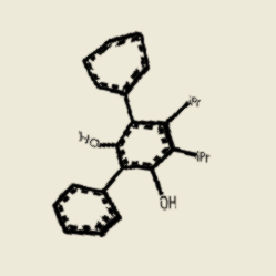 CC(C)c1c(O)c(-c2ccccc2)c(O)c(-c2ccccc2)c1C(C)C